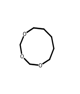 C1CCOCOCOCC1